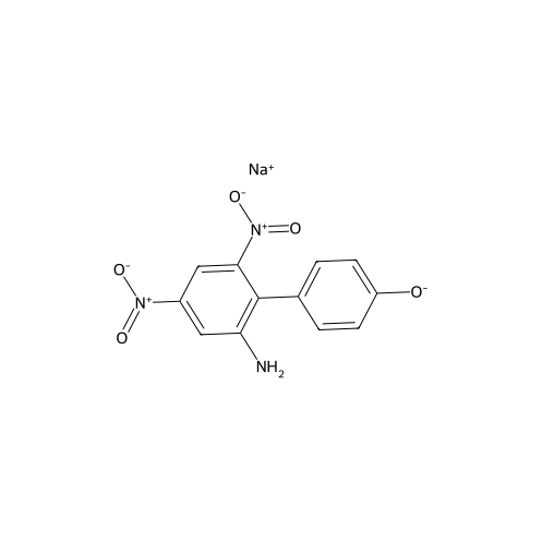 Nc1cc([N+](=O)[O-])cc([N+](=O)[O-])c1-c1ccc([O-])cc1.[Na+]